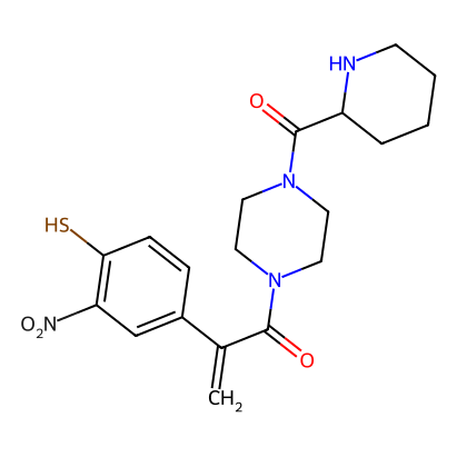 C=C(C(=O)N1CCN(C(=O)C2CCCCN2)CC1)c1ccc(S)c([N+](=O)[O-])c1